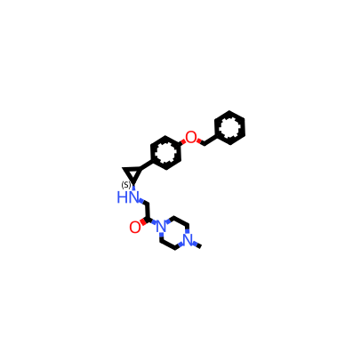 CN1CCN(C(=O)CN[C@H]2CC2c2ccc(OCc3ccccc3)cc2)CC1